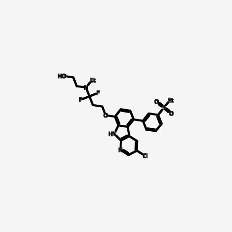 CCN(CCO)C(F)(F)CCOc1ccc(-c2cccc(S(=O)(=O)CC)c2)c2c1[nH]c1ncc(Cl)cc12